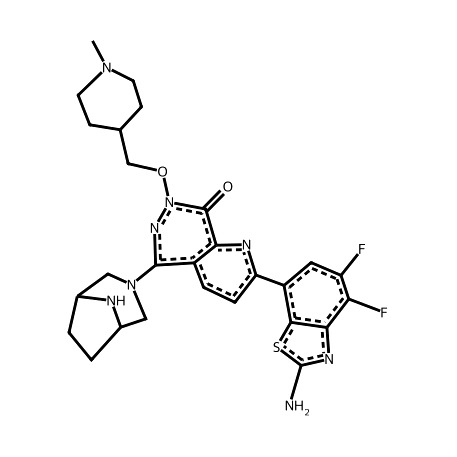 CN1CCC(COn2nc(N3CC4CCC(C3)N4)c3ccc(-c4cc(F)c(F)c5nc(N)sc45)nc3c2=O)CC1